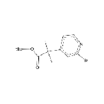 CC(C)(C)OC(=O)C(C)(C)c1ccnc(Br)c1